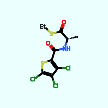 CCSC(=O)[C@H](C)NC(=O)c1sc(Cl)c(Cl)c1Cl